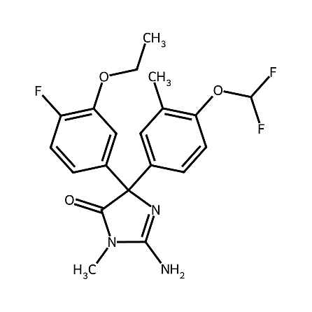 CCOc1cc(C2(c3ccc(OC(F)F)c(C)c3)N=C(N)N(C)C2=O)ccc1F